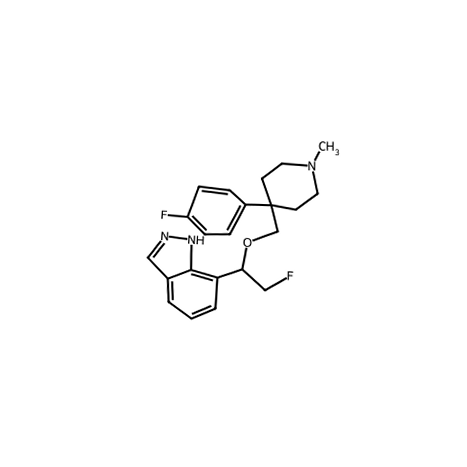 CN1CCC(COC(CF)c2cccc3cn[nH]c23)(c2ccc(F)cc2)CC1